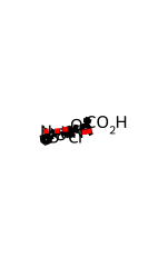 Cc1cc(NC(=O)c2ccc(OC[C@@H]3CN(C)c4ccccc4O3)cc2Cl)cc(C(C)(C)C(=O)O)c1